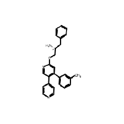 Cc1cccc(-c2cc(OC[C@H](N)Cc3ccccc3)ncc2-c2ccncc2)c1